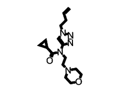 C=CCCn1cc(N(CCN2CCOCC2)C(=O)C2CC2)nn1